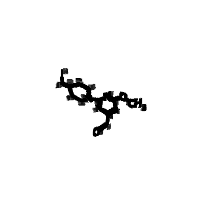 COc1cc(C=O)nc(N2CCC(CI)CC2)n1